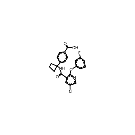 O=C(O)c1ccc(C2(NC(=O)c3cc(Cl)cnc3Oc3cccc(F)c3)CCC2)cc1